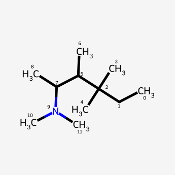 CCC(C)(C)C(C)C(C)N(C)C